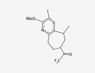 COc1nc2c(cc1I)C(C)CC(C(=O)C(F)(F)F)CC2